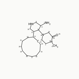 CN1CCN(C2C(N)CNCC2C2CCCCCCCCCC2)CC1=O